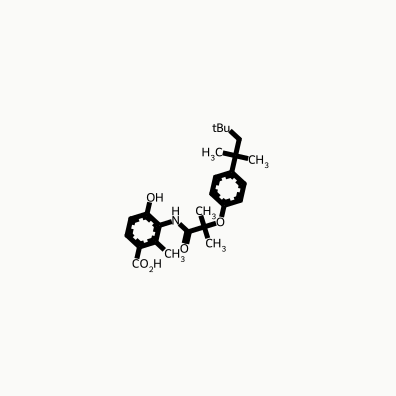 Cc1c(C(=O)O)ccc(O)c1NC(=O)C(C)(C)Oc1ccc(C(C)(C)CC(C)(C)C)cc1